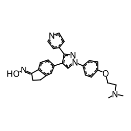 CN(C)CCOc1ccc(-n2cc(-c3ccc4c(c3)CC/C4=N\O)c(-c3ccncc3)n2)cc1